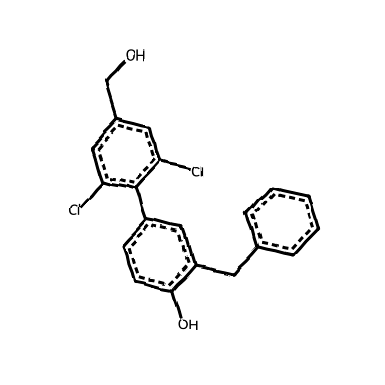 OCc1cc(Cl)c(-c2ccc(O)c(Cc3ccccc3)c2)c(Cl)c1